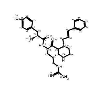 N=C(N)NCCC[C@@H](NC(=O)[C@@H](N)Cc1ccc(O)cc1)C(=O)C1CNCCN1CC=Cc1ccccc1